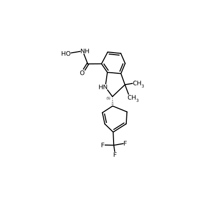 CC1(C)c2cccc(C(=O)NO)c2N[C@H]1C1C=CC(C(F)(F)F)=CC1